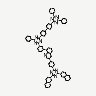 c1ccc(-c2nc(-c3ccccc3)nc(-c3ccc(-c4ccc(-c5nc(-c6ccccc6)nc(-c6cccc(-c7cccc8cc(-c9ccc(-c%10nc(-c%11ccc%12ccccc%12c%11)nc(-c%11ccc%12ccccc%12c%11)n%10)cc9)cnc78)c6)n5)cc4)cc3)n2)cc1